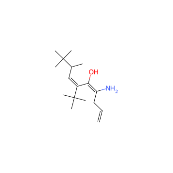 C=CC/C(N)=C(O)\C(=C/C(C)C(C)(C)C)C(C)(C)C